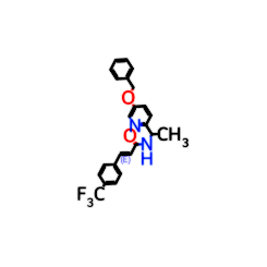 CC(NC(=O)/C=C/c1ccc(C(F)(F)F)cc1)c1ccc(OCc2ccccc2)cn1